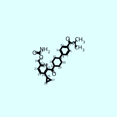 CN(C)C(=O)c1ccc(C2CCC(C(=O)c3nc(COC(N)=O)ccc3C3CC3)CC2)cc1